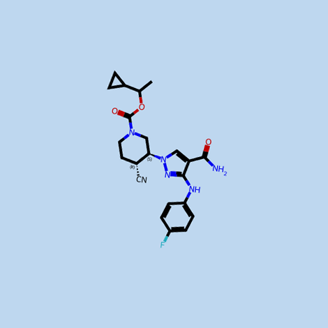 CC(OC(=O)N1CC[C@@H](C#N)[C@H](n2cc(C(N)=O)c(Nc3ccc(F)cc3)n2)C1)C1CC1